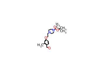 Cc1cc(OCCN2CCN(C(=O)OC(C)(C)C)CC2)ccc1C=O